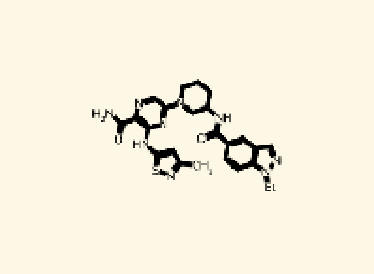 CCn1ncc2cc(C(=O)NC3CCCN(c4cnc(C(N)=O)c(Nc5cc(C)ns5)n4)C3)ccc21